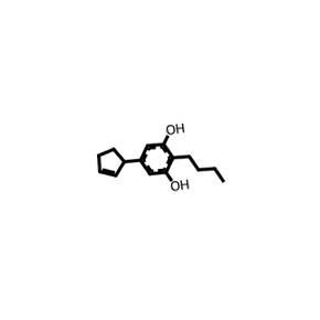 CCCCc1c(O)cc(C2C=CCC2)cc1O